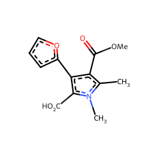 COC(=O)c1c(-c2ccco2)c(C(=O)O)n(C)c1C